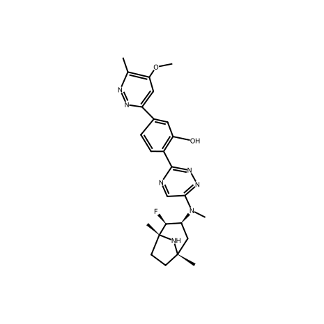 COc1cc(-c2ccc(-c3ncc(N(C)[C@H]4C[C@]5(C)CC[C@@](C)(N5)[C@H]4F)nn3)c(O)c2)nnc1C